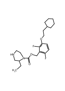 CCC1CNCCN1C(=O)OCc1c(F)ccc(OCCC2CCCCC2)c1F